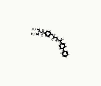 CCN(CC)S(=O)(=O)c1ccc(NC(=O)CNC(=O)c2ccc(-c3ccccc3)cc2)cc1